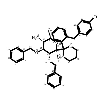 CCc1ccc(Cc2ccccc2C2([C@]3(O)O[C@H](CC)[C@@H](C)[C@H](OCc4ccccc4)[C@H]3OCc3ccccc3)SCCCS2)cc1